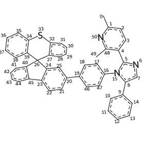 Cc1ccc(-c2ncc(-c3ccccc3)n2-c2ccc(-c3ccc4c(c3)C3(c5ccccc5Sc5ccccc53)c3ccccc3-4)cc2)c(C)n1